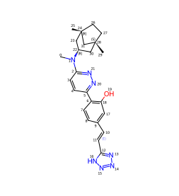 CN(c1ccc(-c2ccc(/C=C/c3nnn[nH]3)cc2O)nn1)[C@H]1C[C@]2(C)CC[C@](C)(C1)C2